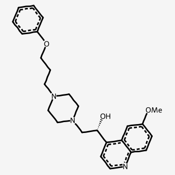 COc1ccc2nccc([C@@H](O)CN3CCN(CCCOc4ccccc4)CC3)c2c1